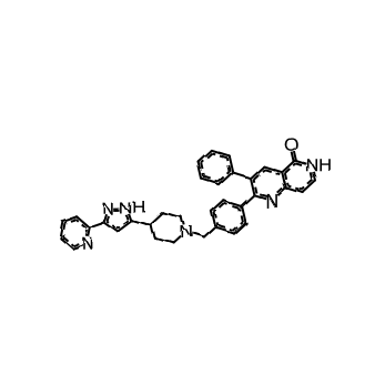 O=c1[nH]ccc2nc(-c3ccc(CN4CCC(c5cc(-c6ccccn6)n[nH]5)CC4)cc3)c(-c3ccccc3)cc12